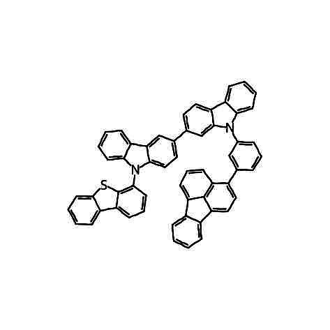 c1cc(-c2ccc3c4c(cccc24)-c2ccccc2-3)cc(-n2c3ccccc3c3ccc(-c4ccc5c(c4)c4ccccc4n5-c4cccc5c4sc4ccccc45)cc32)c1